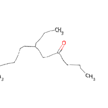 CCCCC(CC)CC(=O)CCC